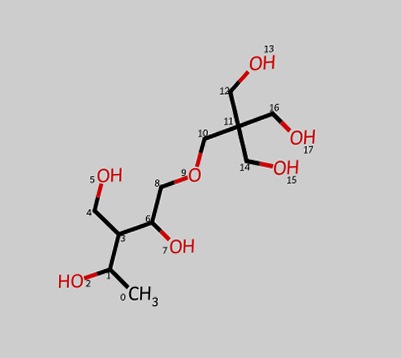 CC(O)C(CO)C(O)COCC(CO)(CO)CO